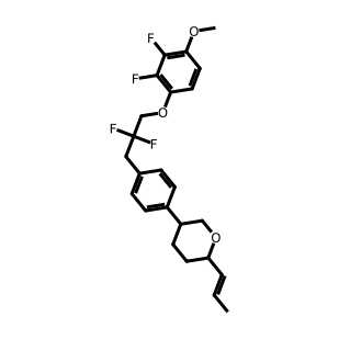 C/C=C/C1CCC(c2ccc(CC(F)(F)COc3ccc(OC)c(F)c3F)cc2)CO1